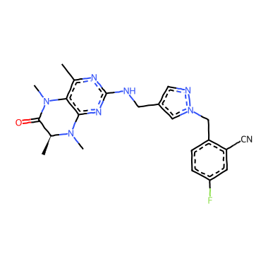 Cc1nc(NCc2cnn(Cc3ccc(F)cc3C#N)c2)nc2c1N(C)C(=O)[C@H](C)N2C